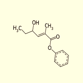 CCC(O)C=C(C)C(=O)Oc1ccccc1